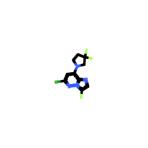 Fc1cnc2c(N3CCC(F)(F)C3)cc(Cl)nn12